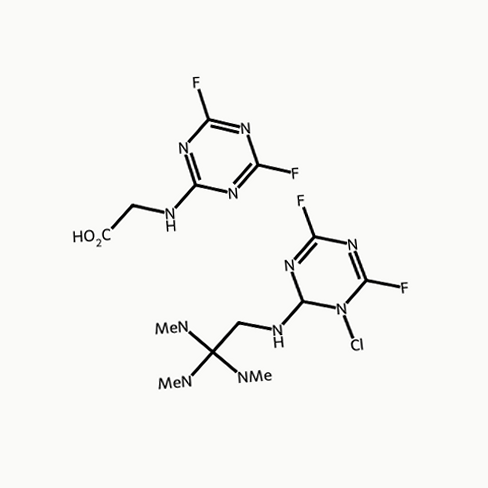 CNC(CNC1N=C(F)N=C(F)N1Cl)(NC)NC.O=C(O)CNc1nc(F)nc(F)n1